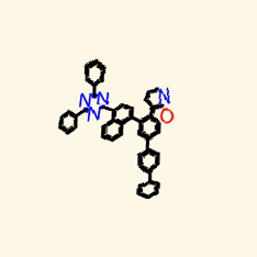 c1ccc(-c2ccc(-c3cc(-c4ccc(-c5nc(-c6ccccc6)nc(-c6ccccc6)n5)c5ccccc45)c4c(c3)oc3ncccc34)cc2)cc1